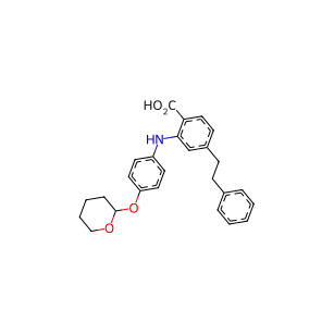 O=C(O)c1ccc(CCc2ccccc2)cc1Nc1ccc(OC2CCCCO2)cc1